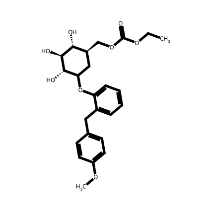 CCOC(=O)OC[C@H]1CC(Oc2ccccc2Cc2ccc(OC)cc2)[C@H](O)[C@@H](O)[C@@H]1O